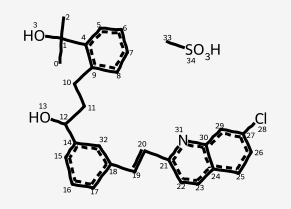 CC(C)(O)c1ccccc1CCC(O)c1cccc(/C=C/c2ccc3ccc(Cl)cc3n2)c1.CS(=O)(=O)O